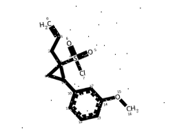 C=CCC1(S(=O)(=O)Cl)CC1c1cccc(OC)c1